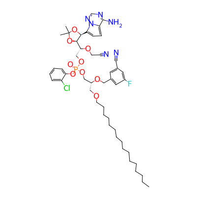 CCCCCCCCCCCCCCCCOC[C@H](COP(=O)(OC[C@@H](OCC#N)[C@H]1OC(C)(C)O[C@H]1c1ccc2c(N)ncnn12)Oc1ccccc1Cl)OCc1cc(F)cc(C#N)c1